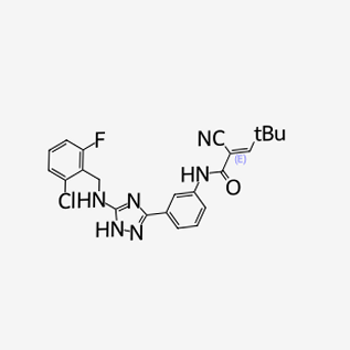 CC(C)(C)/C=C(\C#N)C(=O)Nc1cccc(-c2n[nH]c(NCc3c(F)cccc3Cl)n2)c1